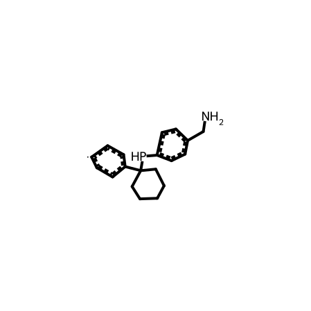 NCc1ccc(PC2(c3cc[c]cc3)CCCCC2)cc1